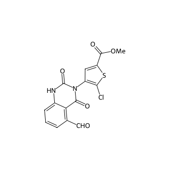 COC(=O)c1cc(-n2c(=O)[nH]c3cccc(C=O)c3c2=O)c(Cl)s1